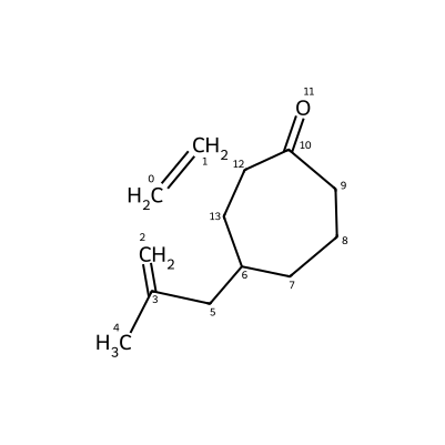 C=C.C=C(C)CC1CCCC(=O)CC1